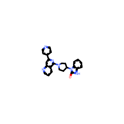 O=c1[nH]c2ccccc2n1C1CCN(c2nc(-c3ccncc3)cc3ncccc23)CC1